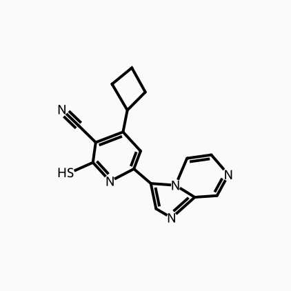 N#Cc1c(C2CCC2)cc(-c2cnc3cnccn23)nc1S